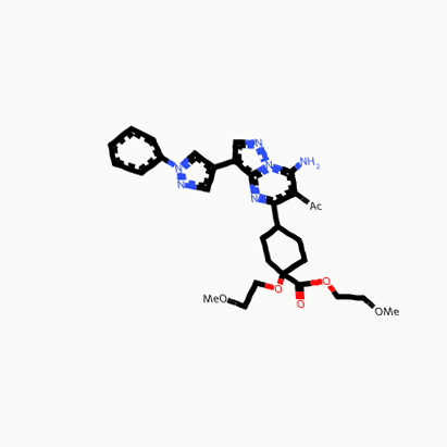 COCCOC(=O)C1(OCCOC)CCC(c2nc3c(-c4cnn(-c5ccccc5)c4)cnn3c(N)c2C(C)=O)CC1